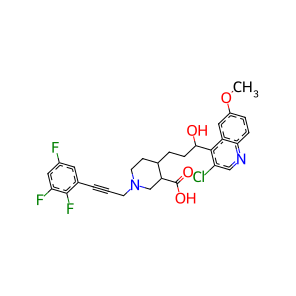 COc1ccc2ncc(Cl)c(C(O)CCC3CCN(CC#Cc4cc(F)cc(F)c4F)CC3C(=O)O)c2c1